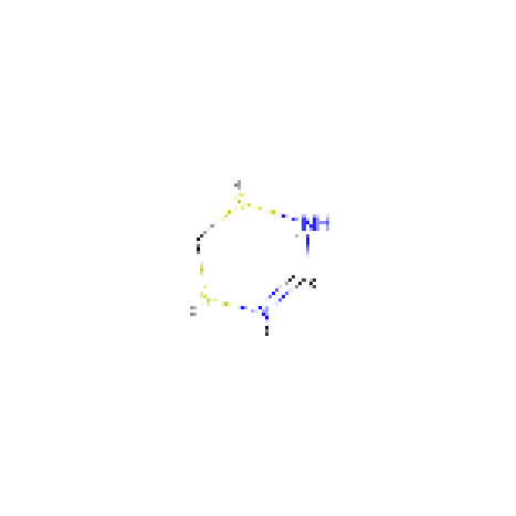 [C]1=NSCSN1